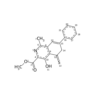 COC(=O)c1nc(C)c2c(c1O)C(=S)CC(c1ccccc1)=C2